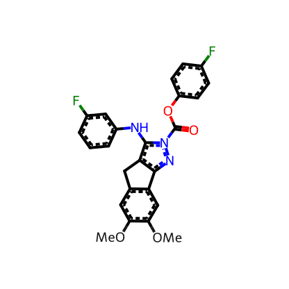 COc1cc2c(cc1OC)-c1nn(C(=O)Oc3ccc(F)cc3)c(Nc3cccc(F)c3)c1C2